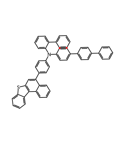 c1ccc(-c2ccc(-c3ccc(N(c4ccc(-c5cc6sc7ccccc7c6c6ccccc56)cc4)c4ccccc4-c4ccccc4)cc3)cc2)cc1